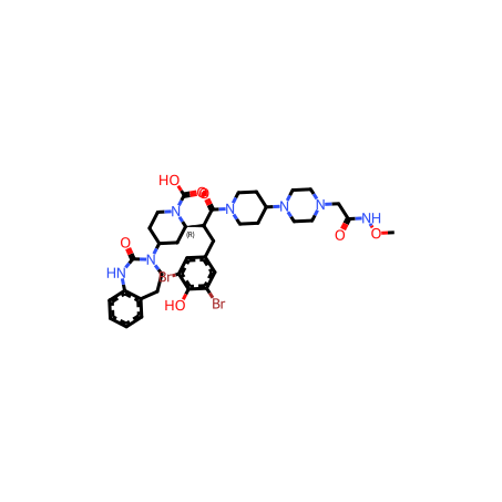 CONC(=O)CN1CCN(C2CCN(C(=O)C(Cc3cc(Br)c(O)c(Br)c3)[C@H]3CC(N4CCc5ccccc5NC4=O)CCN3C(=O)O)CC2)CC1